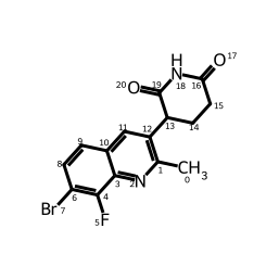 Cc1nc2c(F)c(Br)ccc2cc1C1CCC(=O)NC1=O